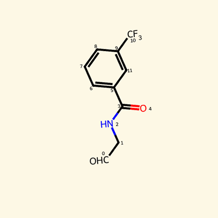 O=CCNC(=O)c1cccc(C(F)(F)F)c1